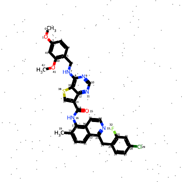 COc1ccc(CNc2ncnc3c(C(=O)Nc4c(C)ccc5c(Cc6ccc(Cl)cc6F)nccc45)csc23)c(OC)c1